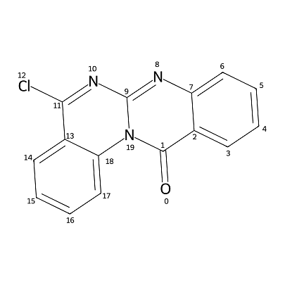 O=c1c2ccccc2nc2nc(Cl)c3ccccc3n12